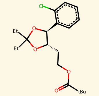 CCC1(CC)O[C@@H](CCOC(=O)C(C)(C)C)[C@H](c2ccccc2Cl)O1